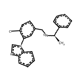 C[C@@H](NCc1ccc(Cl)c(-n2cnc3ccccc32)c1)c1ccccc1